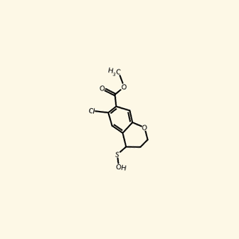 COC(=O)c1cc2c(cc1Cl)C(SO)CCO2